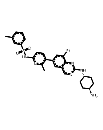 CCc1cc(-c2ccc(NS(=O)(=O)c3cccc(C)c3)nc2C)cc2cnc(N[C@H]3CC[C@H](N)CC3)nc12